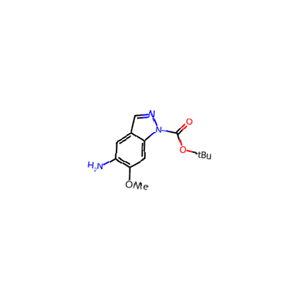 COc1cc2c(cnn2C(=O)OC(C)(C)C)cc1N